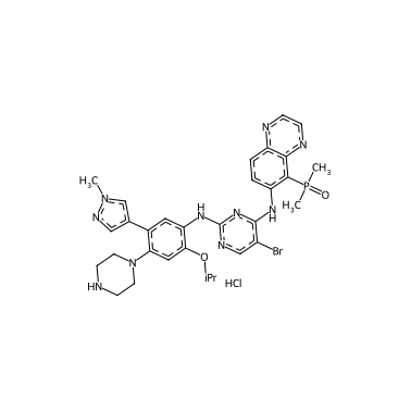 CC(C)Oc1cc(N2CCNCC2)c(-c2cnn(C)c2)cc1Nc1ncc(Br)c(Nc2ccc3nccnc3c2P(C)(C)=O)n1.Cl